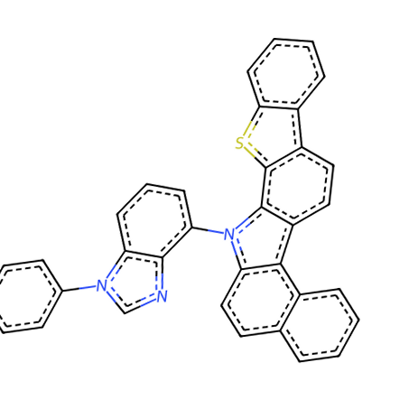 c1ccc(-n2cnc3c(-n4c5ccc6ccccc6c5c5ccc6c7ccccc7sc6c54)cccc32)cc1